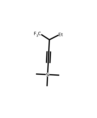 CCC(C#C[Si](C)(C)C)C(F)(F)F